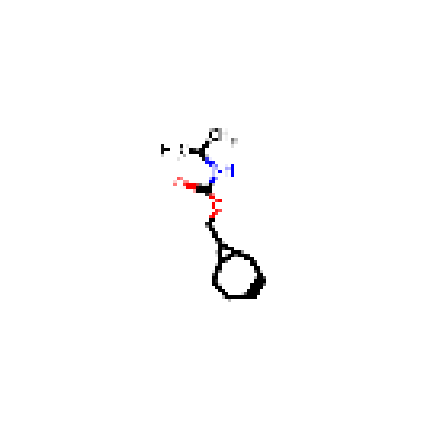 CC(C)NC(=O)OCC1C2CC#CCCC21